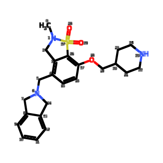 CN1Cc2c(CN3Cc4ccccc4C3)ccc(OCC3CCNCC3)c2S1(=O)=O